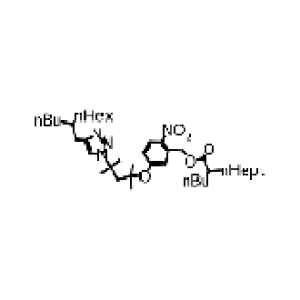 CCCCCCCC(CCCC)C(=O)OCc1cc(OC(C)(C)CC(C)(C)n2cc(CC(CCCC)CCCCCC)nn2)ccc1[N+](=O)[O-]